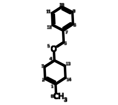 CC1=CCC(OCc2ccccc2)CC1